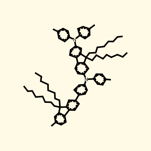 CCCCCCCCC1(CCCCCCCC)c2cc(C)ccc2-c2ccc(-c3ccc(N(c4ccc(C)cc4)c4ccc5c(c4)C(CCCCCCCC)(CCCCCCCC)c4cc(N(c6ccc(C)cc6)c6ccc(C)cc6)ccc4-5)cc3)cc21